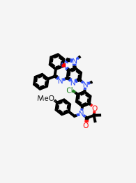 COc1ccc(CN2C(=O)C(C)(C)Oc3cc(N(C)c4cc5c(ncn5C)c(N=C(c5ccccc5)c5ccccc5)n4)c(Cl)cc32)cc1